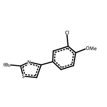 COc1ccc(-c2csc(C(C)(C)C)n2)cc1Cl